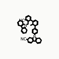 CC1C(c2cccc(C#N)c2Cn2c3c(c4c2CCC=C4)C=CCC3)=CC=CC1c1ccc(-n2c3c(c4c2CC(C#N)C=C4)C=CCC3)cc1